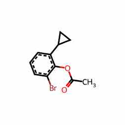 CC(=O)Oc1c(Br)cccc1C1CC1